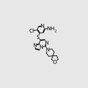 Nc1cc(Sc2cnc(N3CCC4(CCOC4)CC3)n3ccnc23)c(Cl)cn1